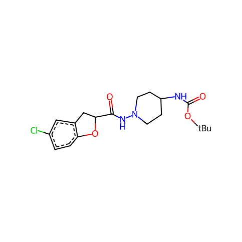 CC(C)(C)OC(=O)NC1CCN(NC(=O)C2Cc3cc(Cl)ccc3O2)CC1